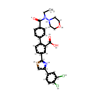 CCN(C(=O)c1ccc(-c2ccc(-c3nc(-c4ccc(Cl)c(Cl)c4)cs3)cc2C(=O)O)cc1)N1CCOCC1